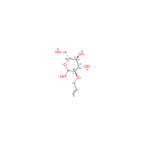 C=CCO[C@H]1C(O)O[C@H](CO)[C@@H](O)[C@@H]1O